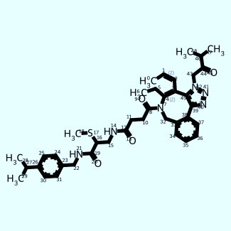 C/C=C\C1=C(/CC)N(C(=O)CCC(=O)NCC(SC)C(=O)NCc2ccc(C(C)C)cc2)Cc2ccccc2-c2nnn(CC(=O)C(C)C)c21